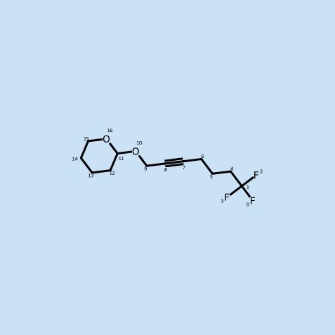 FC(F)(F)CCCC#CCOC1CCCCO1